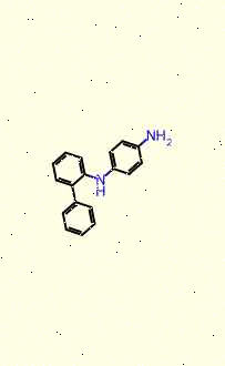 Nc1ccc(Nc2ccccc2-c2ccccc2)cc1